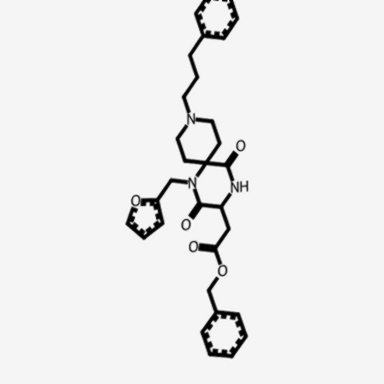 O=C(CC1NC(=O)C2(CCN(CCCc3ccccc3)CC2)N(Cc2ccco2)C1=O)OCc1ccccc1